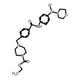 CCOC(=O)N1CCN(Cc2ccc(C(=O)Nc3ccc([S+]([O-])N4CCOCC4)cc3)cc2)CC1